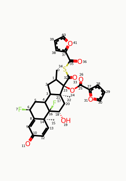 CC1CC2C3C[C@H](F)C4=CC(=O)C=C[C@]4(C)[C@@]3(F)[C@@H](O)C[C@]2(C)[C@@]1(OC(=O)c1ccco1)C(=O)SC(=O)c1ccco1